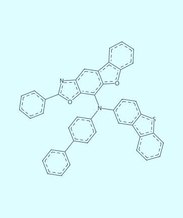 c1ccc(-c2ccc(N(c3ccc4sc5ccccc5c4c3)c3c4oc(-c5ccccc5)nc4cc4c3oc3ccccc34)cc2)cc1